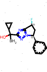 BC(O)(c1nc2n(n1)[C@H](c1ccccc1)C[C@@H]2F)C1CC1